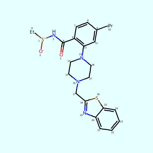 CC[S+]([O-])NC(=O)c1ccc(C(C)C)cc1N1CCN(Cc2nc3ccccc3s2)CC1